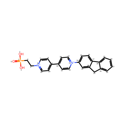 O=P(O)(O)CC[n+]1ccc(-c2cc[n+](-c3ccc4c(c3)Cc3ccccc3-4)cc2)cc1